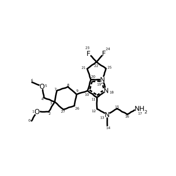 COCC1(COC)CCC(c2c(CN(C)CCN)nn3c2CC(F)(F)C3)CC1